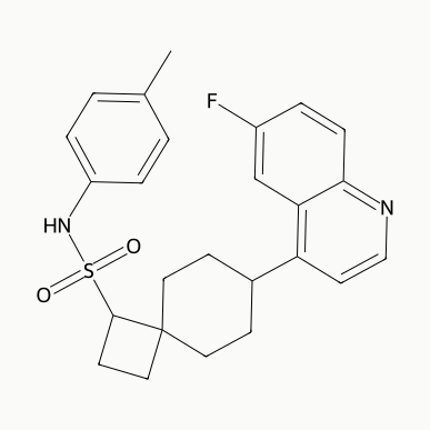 Cc1ccc(NS(=O)(=O)C2CCC23CCC(c2ccnc4ccc(F)cc24)CC3)cc1